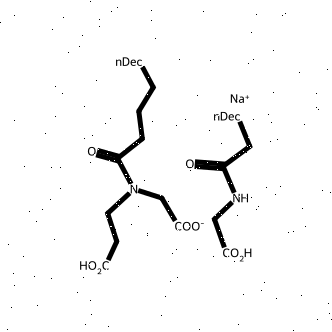 CCCCCCCCCCCC(=O)NCC(=O)O.CCCCCCCCCCCCCC(=O)N(CCC(=O)O)CC(=O)[O-].[Na+]